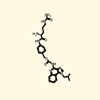 CC(C)Cn1cnc2c(NC(=O)OCc3ccc(NC(=O)[C@@H](N)CCCNC(N)=O)cc3)nc3ccccc3c21